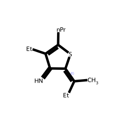 CCCC1=C(CC)C(=N)/C(=C(/C)CC)S1